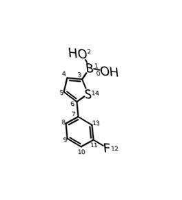 OB(O)c1ccc(-c2cccc(F)c2)s1